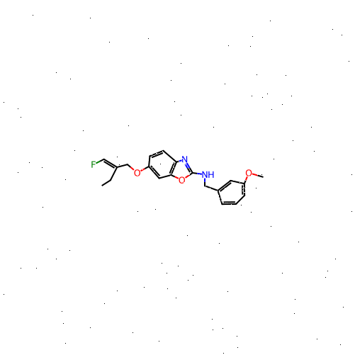 CC/C(=C\F)COc1ccc2nc(NCc3cccc(OC)c3)oc2c1